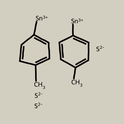 Cc1cc[c]([Sn+3])cc1.Cc1cc[c]([Sn+3])cc1.[S-2].[S-2].[S-2]